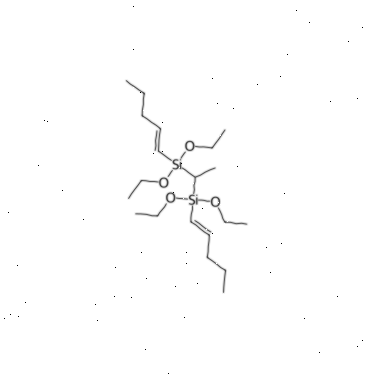 CCCC=C[Si](OCC)(OCC)C(C)[Si](C=CCCC)(OCC)OCC